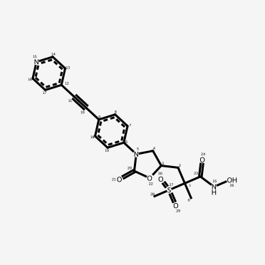 CC(CC1CN(c2ccc(C#Cc3ccncc3)cc2)C(=O)O1)(C(=O)NO)S(C)(=O)=O